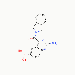 Nc1nc(C(=O)N2Cc3ccccc3C2)c2cc(B(O)O)ccc2n1